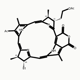 CC[C@H]1c2cc3[nH]c4c(c5nc(cc6[nH]c(cc(n2)[C@@H]1C)c(C(C)=O)c6C)[C@@H](C)[C@@H]5CCOC(C)=O)C(=O)OC(=O)c4c3C